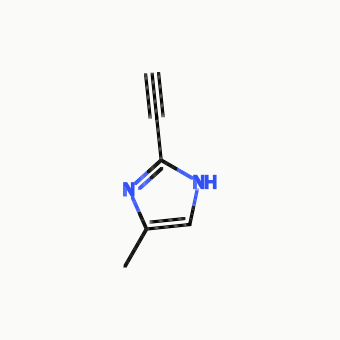 C#Cc1nc(C)c[nH]1